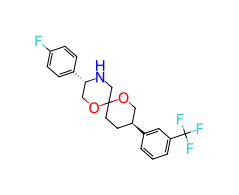 Fc1ccc([C@H]2COC3(CC[C@H](c4cccc(C(F)(F)F)c4)CO3)CN2)cc1